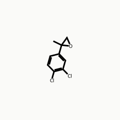 CC1(c2ccc(Cl)c(Cl)c2)CO1